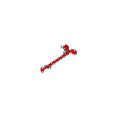 C=C1CC/C=N\c2cc(OCc3cc(CNOCCOCCOCCOCCOCCOCCOCCOCCOCCOCCOCCOCCNC(=O)CCCCCN4C(=O)C=CC4=O)cc(COc4cc5c(cc4OC)C(=O)N4CC(=C)C[C@H]4C=N5)c3)c(OC)cc2C(=O)NC1